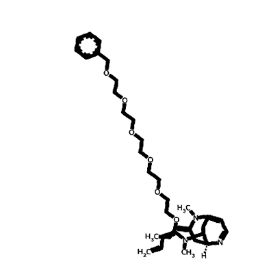 C=C/C=C(/OCCOCCOCCOCCOCCOCc1ccccc1)N(C)C1CC2=CC=N[C@H]1C/C(=C\CC)N2C